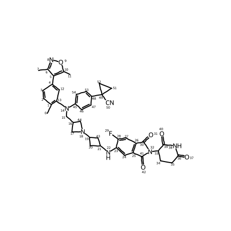 Cc1ccc(-c2c(C)noc2C)cc1N(CC1CN(C2CC(Nc3cc4c(cc3F)C(=O)N(C3CCC(=O)NC3=O)C4=O)C2)C1)c1ccc(C2(C#N)CC2)cc1